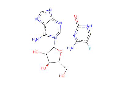 Nc1c2ncnc-2ncn1[C@@H]1O[C@H](CO)[C@@H](O)[C@@H]1O.Nc1nc(=O)[nH]cc1F